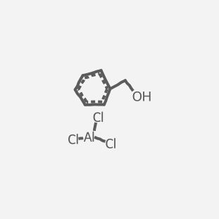 OCc1ccccc1.[Cl][Al]([Cl])[Cl]